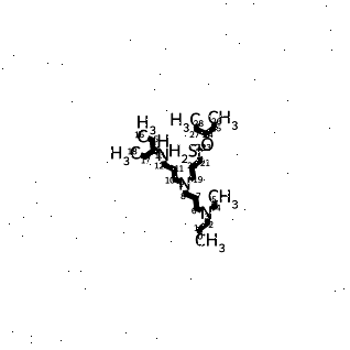 CCCN(CC)CCCN(CCCNC(CC)CC)CCC[SiH2]OC(CC)CC